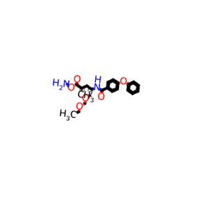 CCOCOC[C@H](C[C@H](C)C(=O)ON)NC(=O)c1ccc(Oc2ccccc2)cc1